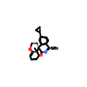 CNC1=NC(=O)[C@]2(CCOC3=CC=CCC32C)c2cc(C3CC3)ccc21